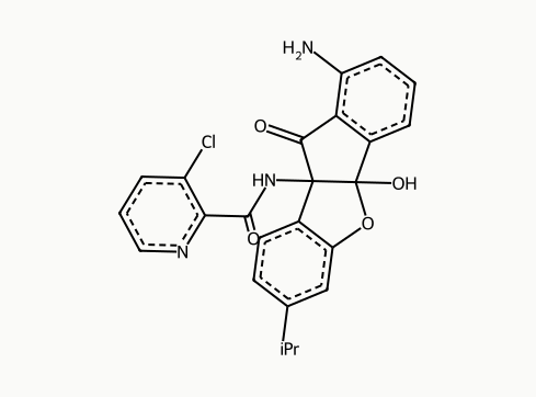 CC(C)c1ccc2c(c1)OC1(O)c3cccc(N)c3C(=O)C21NC(=O)c1ncccc1Cl